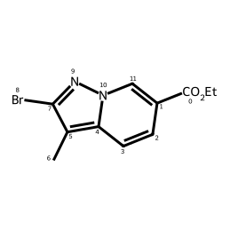 CCOC(=O)c1ccc2c(C)c(Br)nn2c1